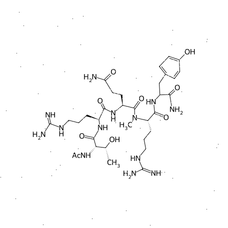 CC(=O)N[C@H](C(=O)N[C@@H](CCCNC(=N)N)C(=O)N[C@@H](CCC(N)=O)C(=O)N(C)[C@@H](CCCNC(=N)N)C(=O)NC(Cc1ccc(O)cc1)C(N)=O)[C@@H](C)O